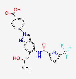 CC(O)Cc1cc2nn(-c3ccc(C(=O)O)cc3)cc2cc1NC(=O)c1cccc(C(F)(F)F)n1